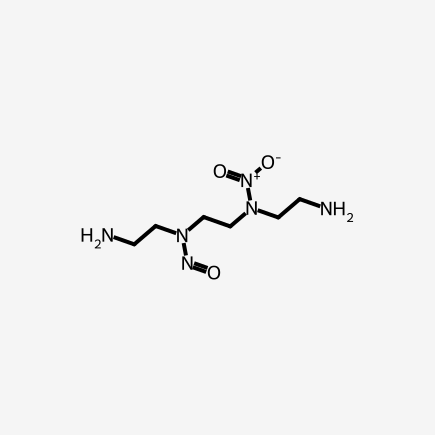 NCCN(CCN(CCN)[N+](=O)[O-])N=O